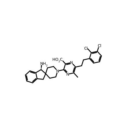 Cc1nc(N2CCC3(CC2)Cc2ccccc2[C@H]3N)c(C(=O)O)nc1CCc1cccc(Cl)c1Cl